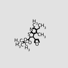 CCc1c(C)nc2c(c1C)C(c1ccoc1)C(C(=O)OC(C)(C)C)S2